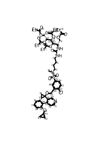 CCC(=O)OC[C@H](NC(=O)NCCCCN(C)S(=O)(=O)c1ccc(Cl)c(COC2(c3cnccc3-c3ccccc3OC3CC3)CC2)c1)[C@@H](OC(=O)CC)[C@H](OC(=O)CC)[C@@H](COC(=O)CC)OC(=O)CC